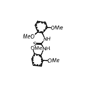 COc1cccc(OC)c1NC(=S)Nc1c(OC)cccc1OC